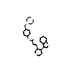 O=C(/C=C/c1cnccc1-c1c[nH]c2ccccc12)Nc1ccc(CN2CCOCC2)cc1